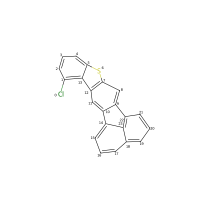 Clc1cccc2sc3cc4c(cc3c12)-c1cccc2cccc-4c12